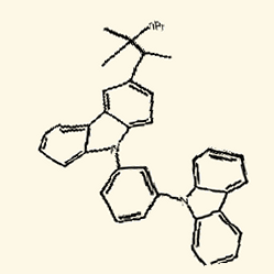 CCCC(C)(C)C(C)c1ccc2c(c1)c1ccccc1n2-c1cccc(-n2c3ccccc3c3ccccc32)c1